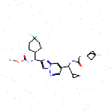 CC(C)(C)OC(=O)N[C@H](c1cn2ncc(C(NC(=O)C[C@]34C[C@@](F)(C3)C4)C3CC3)cc2n1)C1CCC(F)(F)CC1